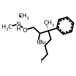 C[SiH](C)OCC(C(C)(C)C)[C@](C)(CCCI)c1ccccc1